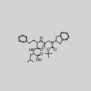 CC(C)C[C@@H](NC(=O)[C@@H](CCc1ccccc1)NC(=O)CN(C(=O)OC(C)(C)C)C1Cc2ccccc2C1)C(=O)O